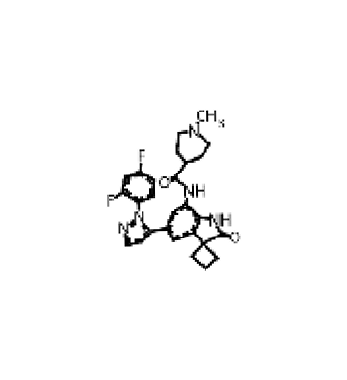 CN1CCC(C(=O)Nc2cc(-c3ccnn3-c3ccc(F)cc3F)cc3c2NC(=O)C32CCC2)CC1